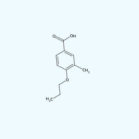 CCCOc1ccc(C(=O)O)cc1C